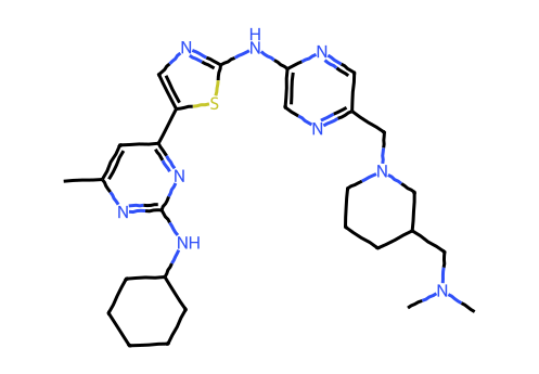 Cc1cc(-c2cnc(Nc3cnc(CN4CCCC(CN(C)C)C4)cn3)s2)nc(NC2CCCCC2)n1